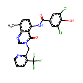 Cc1ccc(NC(=O)c2cc(Cl)c(O)c(Cl)c2)c2c(=O)n(Cc3ncccc3C(F)(F)F)cnc12